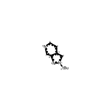 CC(C)(C)n1cc2ccncc2n1